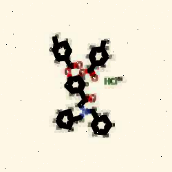 Cc1ccc(C(=O)Oc2ccc(C(=O)CN(Cc3ccccc3)Cc3ccccc3)cc2OC(=O)c2ccc(C)cc2)cc1.Cl